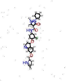 Cc1c(C(=O)Nc2ccc(Oc3ccnc4cc(OCC5CC6CC6N5)ccc34)c(F)c2)c(=O)n(-c2ccccc2)n1C